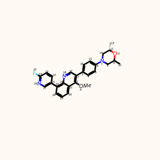 COc1c(-c2ccc(N3CC(C)O[C@@H](C)C3)cc2)cnc2c(-c3ccc(F)nc3)cccc12